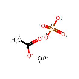 CC(=O)[O-].O=S(=O)([O-])[O-].[Cu+3]